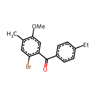 CCc1ccc(C(=O)c2cc(OC)c(C)cc2Br)cc1